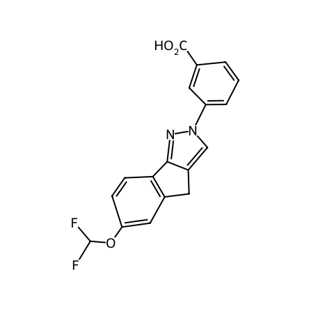 O=C(O)c1cccc(-n2cc3c(n2)-c2ccc(OC(F)F)cc2C3)c1